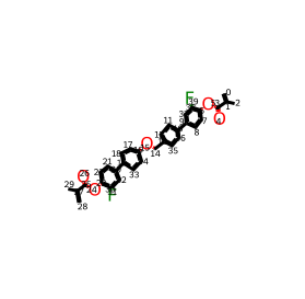 C=C(C)C(=O)Oc1ccc(-c2ccc(COc3ccc(-c4ccc(OC(=O)C(=C)C)c(F)c4)cc3)cc2)cc1F